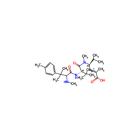 CNC(C(=O)N[C@H](C(=O)N(C)[C@H](/C=C(\C)C(=O)O)C(C)C)C(C)(C)C)C(C)(C)c1ccc(C)cc1